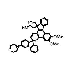 COc1cc2c3c(c4c(c2cc1OC)-c1ccccc1C4(CO)CCO)C=CC(c1ccccc1)(c1ccc(N2CCOCC2)cc1)O3